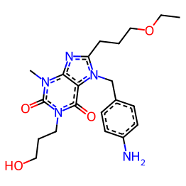 CCOCCCc1nc2c(c(=O)n(CCCO)c(=O)n2C)n1Cc1ccc(N)cc1